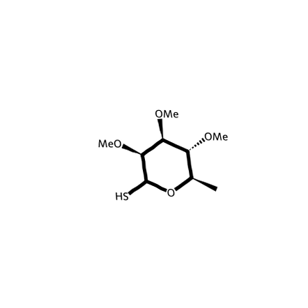 CO[C@H]1[C@H](OC)[C@@H](C)OC(S)[C@H]1OC